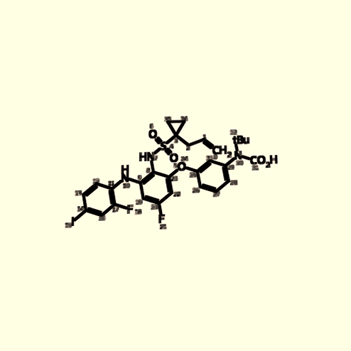 C=CCC1(S(=O)(=O)Nc2c(Nc3ccc(I)cc3F)cc(F)cc2Oc2cccc(N(C(=O)O)C(C)(C)C)c2)CC1